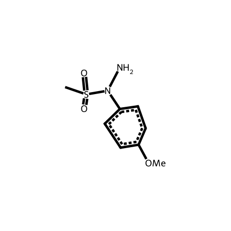 COc1ccc(N(N)S(C)(=O)=O)cc1